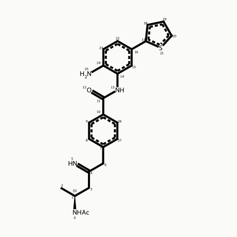 CC(=O)N[C@@H](C)CC(=N)Cc1ccc(C(=O)Nc2cc(-c3cccs3)ccc2N)cc1